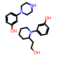 OCCC1CCCCN1c1cccc(O)c1.Oc1cccc(N2CCNCC2)c1